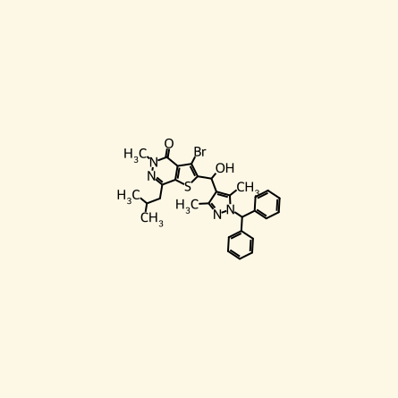 Cc1nn(C(c2ccccc2)c2ccccc2)c(C)c1C(O)c1sc2c(CC(C)C)nn(C)c(=O)c2c1Br